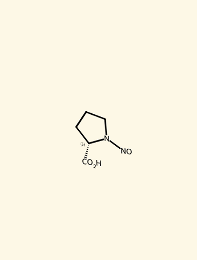 O=NN1CCC[C@H]1C(=O)O